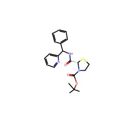 CC(C)(C)OC(=O)N1CCS[C@H]1C(=O)NC(c1ccccc1)c1ccccn1